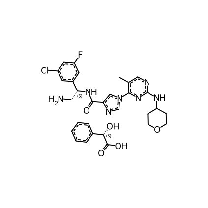 Cc1cnc(NC2CCOCC2)nc1-n1cnc(C(=O)N[C@H](CN)c2cc(F)cc(Cl)c2)c1.O=C(O)[C@@H](O)c1ccccc1